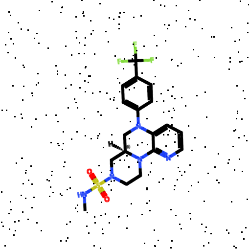 CNS(=O)(=O)N1CCN2c3ncccc3N(c3ccc(C(F)(F)F)cc3)C[C@@H]2C1